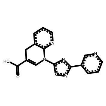 O=C(O)C1=CN(c2nc(-c3cccnc3)ns2)c2ncccc2C1